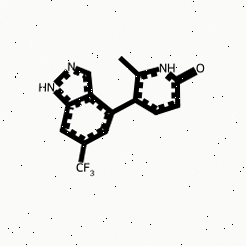 Cc1[nH]c(=O)ccc1-c1cc(C(F)(F)F)cc2[nH]ncc12